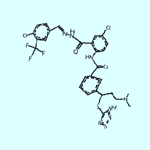 CN(C)CCC(Sc1nnn[nH]1)c1cccc(C(=O)Nc2ccc(Cl)cc2C(=O)NN=Cc2ccc(Cl)c(C(F)(F)F)c2)c1